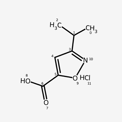 CC(C)c1cc(C(=O)O)on1.Cl